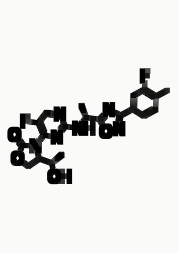 Cc1ccc(-c2noc([C@H](C)Nc3ncc(F)c(N4C(=O)OCC4[C@@H](C)O)n3)n2)cc1F